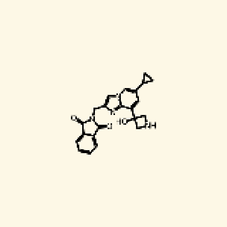 O=C1c2ccccc2C(=O)N1Cc1cn2cc(C3CC3)cc(C3(O)CNC3)c2n1